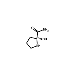 NC(=O)[C@@]1(O)CCCN1